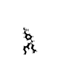 CC/C=C\C(C)=C\N(/C=C/C(C)C)C[C@H]1CC=C(CNC)CC1